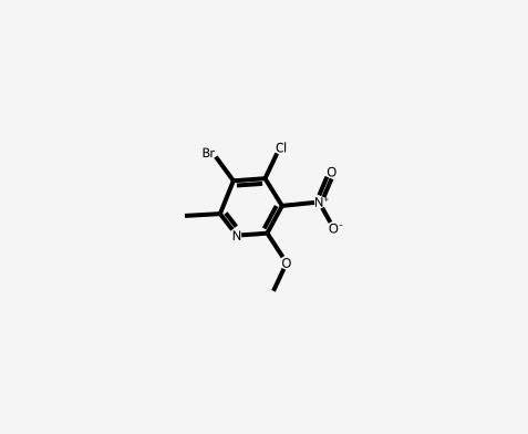 COc1nc(C)c(Br)c(Cl)c1[N+](=O)[O-]